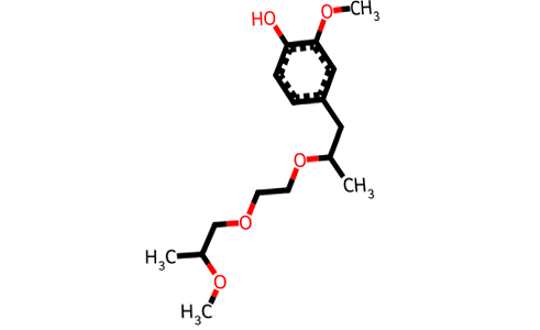 COc1cc(CC(C)OCCOCC(C)OC)ccc1O